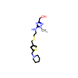 Cn1nc(CO)nc1NCCSCc1csc(CN2CCCCC2)c1